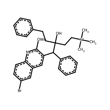 COc1nc2ccc(Br)cc2cc1C(c1ccccc1)C(O)(CCc1ccccc1)CC[N+](C)(C)C